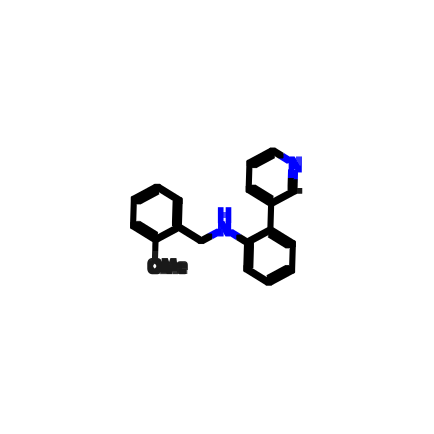 COc1ccccc1CNc1ccccc1-c1[c]nccc1